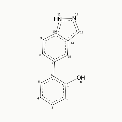 Oc1ccccc1-c1ccc2[nH]ncc2c1